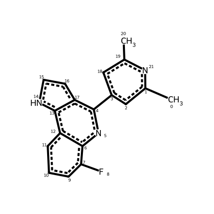 Cc1cc(-c2nc3c(F)cccc3c3[nH]ccc23)cc(C)n1